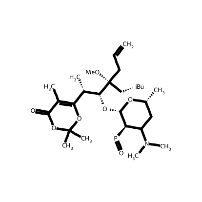 C=CC[C@](C[C@@H](C)CC)(OC)[C@H](O[C@@H]1O[C@H](C)CC(N(C)C)[C@H]1P=O)[C@@H](C)C1=C(C)C(=O)OC(C)(C)O1